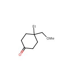 CCC1(COC)CCC(=O)CC1